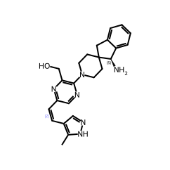 Cc1[nH]ncc1/C=C\c1cnc(N2CCC3(CC2)Cc2ccccc2[C@H]3N)c(CO)n1